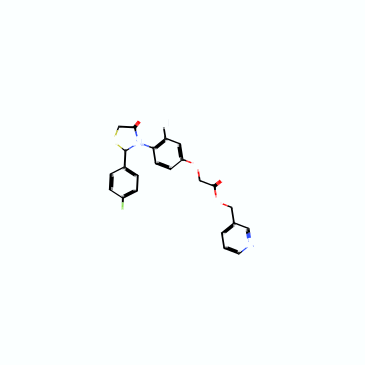 Cc1cc(OCC(=O)OCc2cccnc2)ccc1N1C(=O)CSC1c1ccc(F)cc1